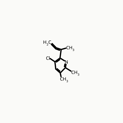 C=C=C(C)c1nc(C)c(C)cc1Cl